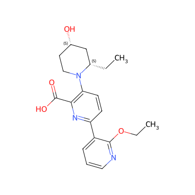 CCOc1ncccc1-c1ccc(N2CC[C@H](O)C[C@@H]2CC)c(C(=O)O)n1